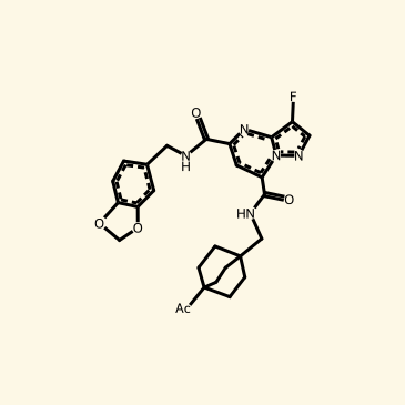 CC(=O)C12CCC(CNC(=O)c3cc(C(=O)NCc4ccc5c(c4)OCO5)nc4c(F)cnn34)(CC1)CC2